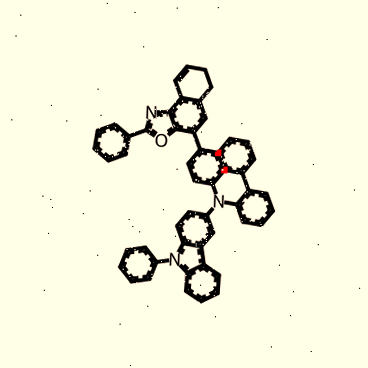 C1=Cc2c(cc(-c3ccc(N(c4ccc5c(c4)c4ccccc4n5-c4ccccc4)c4ccccc4-c4ccccc4)cc3)c3oc(-c4ccccc4)nc23)CC1